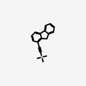 C[Si](C)(C)C#Cc1cccc2c1Cc1ccccc1-2